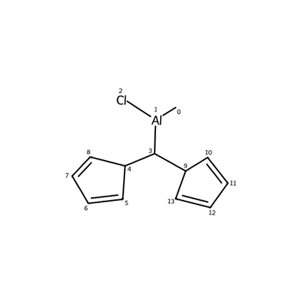 [CH3][Al]([Cl])[CH](C1C=CC=C1)C1C=CC=C1